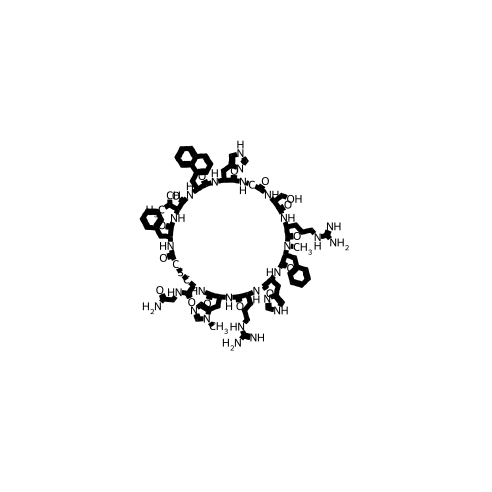 CC(C)C1NC(=O)C(Cc2ccccc2)NC(=O)CSCC(C(=O)NCC(N)=O)NC(=O)C(Cc2cncn2C)NC(=O)C(CCCNC(=N)N)NC(=O)C(Cc2c[nH]cn2)NC(=O)C(Cc2ccccc2)N(C)C(=O)C(CCCNC(=N)N)NC(=O)C(CO)NC(=O)CNC(=O)C(Cc2c[nH]cn2)NC(=O)C(Cc2cccc3ccccc23)NC1=O